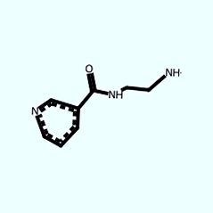 [NH]CCNC(=O)c1cccnc1